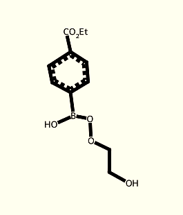 CCOC(=O)c1ccc(B(O)OOCCO)cc1